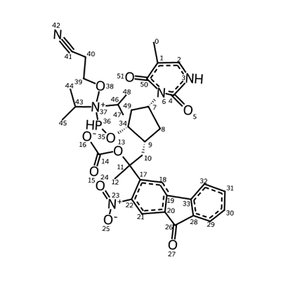 Cc1c[nH]c(=O)n([C@@H]2C[C@H](CC(C)(OC(=O)[O-])c3cc4c(cc3[N+](=O)[O-])C(=O)c3ccccc3-4)[C@H](OP[N+](OCCC#N)(C(C)C)C(C)C)C2)c1=O